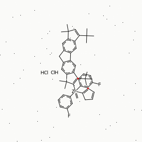 Cl.Cl.[CH2]=[Zr]([C]1=CC=CC1)([C]1=C(C(C)(C)C)c2cc3c(cc2C1(C)C)Cc1cc2c(cc1-3)C(C(C)(C)C)=CC2(C)C)([c]1cccc(F)c1)[c]1cccc(F)c1